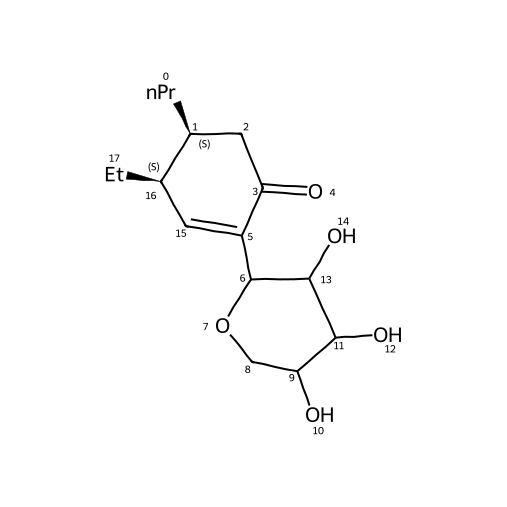 CCC[C@H]1CC(=O)C(C2OCC(O)C(O)C2O)=C[C@H]1CC